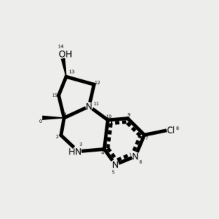 C[C@]12CNc3nnc(Cl)cc3N1C[C@H](O)C2